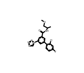 COCC(C)NC(=O)c1cc(-c2ccc(F)cc2Cl)cc(-n2cnnn2)c1